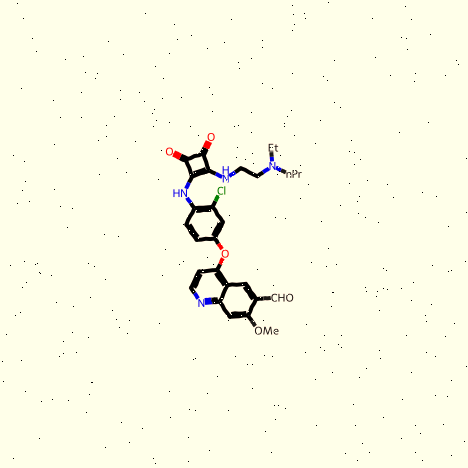 CCCN(CC)CCNc1c(Nc2ccc(Oc3ccnc4cc(OC)c(C=O)cc34)cc2Cl)c(=O)c1=O